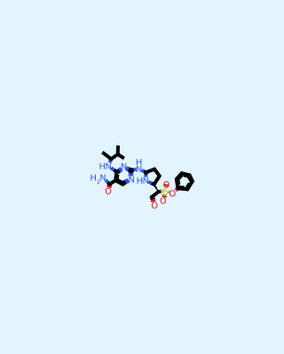 CC(C)C(C)Nc1nc(NC2CCC([C@H](C=O)S(=O)(=O)Oc3ccccc3)N2)ncc1C(N)=O